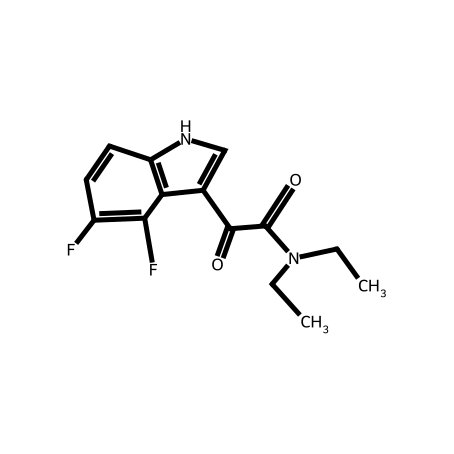 CCN(CC)C(=O)C(=O)c1c[nH]c2ccc(F)c(F)c12